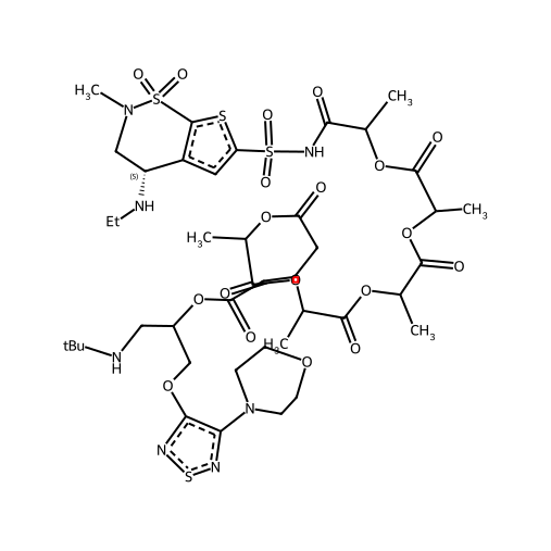 CCN[C@@H]1CN(C)S(=O)(=O)c2sc(S(=O)(=O)NC(=O)C(C)OC(=O)C(C)OC(=O)C(C)OC(=O)C(C)OC(=O)C(C)OC(=O)CCCC(=O)OC(CNC(C)(C)C)COc3nsnc3N3CCOCC3)cc21